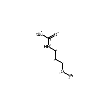 CC(C)OCCCNC(=O)C(C)(C)C